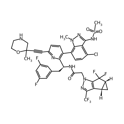 Cn1nc(NS(C)(=O)=O)c2c(Cl)ccc(-c3ccc(C#CC4(C)CNCCO4)nc3[C@H](Cc3cc(F)cc(F)c3)NC(=O)Cn3nc(C(F)(F)F)c4c3C(F)(F)[C@@H]3C[C@H]43)c21